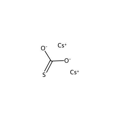 [Cs+].[Cs+].[O-]C([O-])=S